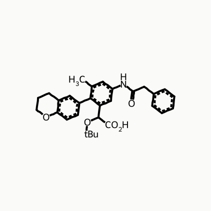 Cc1cc(NC(=O)Cc2ccccc2)cc(C(OC(C)(C)C)C(=O)O)c1-c1ccc2c(c1)CCCO2